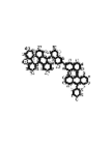 c1ccc(-c2c3ccccc3c(-c3cccc4cc(-c5ccc6c(-c7c8ccccc8c(-c8cccc9oc%10ccccc%10c89)c8ccccc78)cccc6c5)ccc34)c3ccccc23)cc1